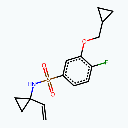 C=CC1(NS(=O)(=O)c2ccc(F)c(OCC3CC3)c2)CC1